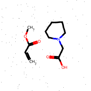 C=CC(=O)OC.O=C(O)CN1CCCCC1